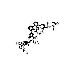 COc1nc(-c2cccc(-c3cccc(-c4cc5c(=O)n(C)c(CNCC(C)(C)C(=O)O)nn5c4)c3Cl)c2Cl)ccc1CNC[C@@H]1CCC(=O)N1